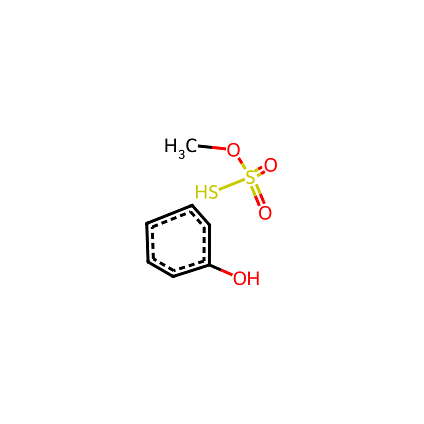 COS(=O)(=O)S.Oc1ccccc1